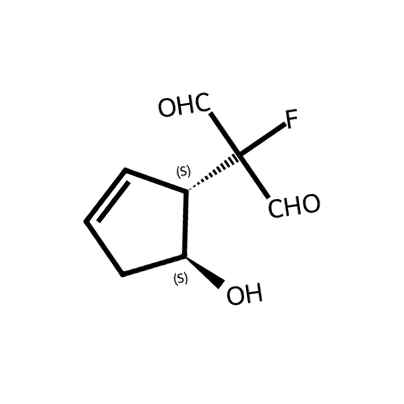 O=CC(F)(C=O)[C@H]1C=CC[C@@H]1O